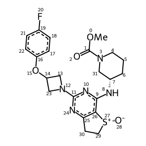 COC(=O)N1CCC[C@H](Nc2nc(N3CC(Oc4ccc(F)cc4)C3)nc3c2[S@+]([O-])CC3)C1